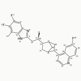 Cc1c(F)c(F)cc2nc(C[C@@H](C)C3CC4CC3CC4c3ccnc4ccc(F)cc34)[nH]c12